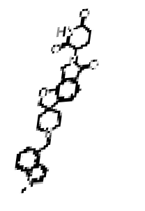 Cn1ccc2c(CN3CCC4(CC3)COc3c4ccc4c3CN(C3CCC(=O)NC3=O)C4=O)cccc21